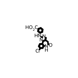 O=C1Cc2cnc(Nc3cccc(C(=O)O)c3)nc2-c2ccc(Cl)cc2N1